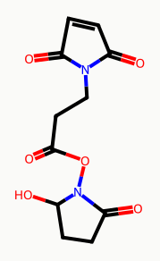 O=C(CCN1C(=O)C=CC1=O)ON1C(=O)CCC1O